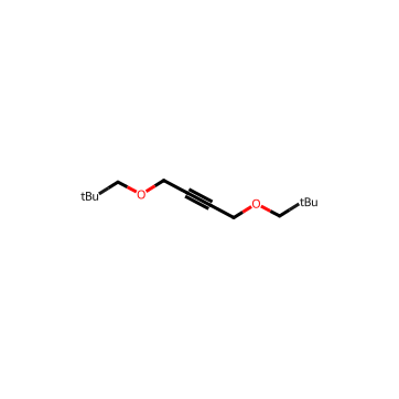 CC(C)(C)COCC#CCOCC(C)(C)C